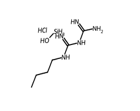 CCCCNC(=N)NC(=N)N.Cl.O[SiH3]